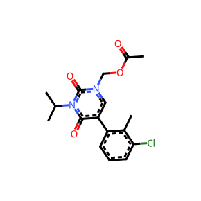 CC(=O)OCn1cc(-c2cccc(Cl)c2C)c(=O)n(C(C)C)c1=O